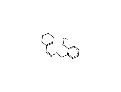 COc1ccccc1CO/N=[C]\C1=CCCCC1